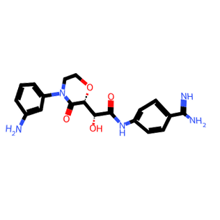 N=C(N)c1ccc(NC(=O)[C@H](O)[C@H]2OCCN(c3cccc(N)c3)C2=O)cc1